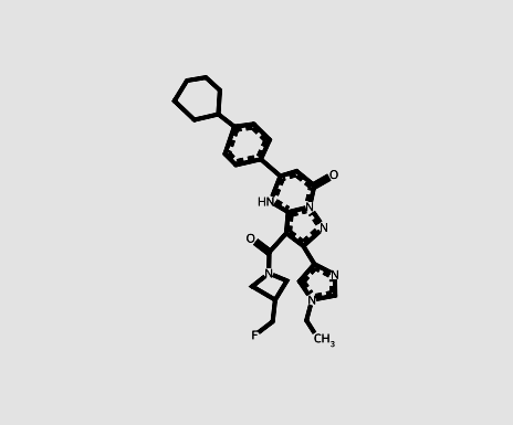 CCn1cnc(-c2nn3c(=O)cc(-c4ccc(C5CCCCC5)cc4)[nH]c3c2C(=O)N2CC(CF)C2)c1